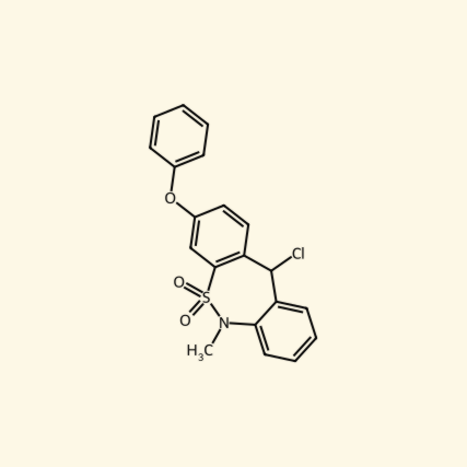 CN1c2ccccc2C(Cl)c2ccc(Oc3ccccc3)cc2S1(=O)=O